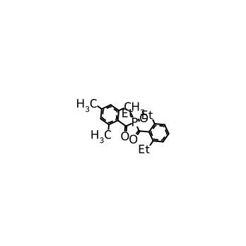 CCc1cccc(CC)c1C(=O)P(=O)(CC)C(=O)c1c(C)cc(C)cc1C